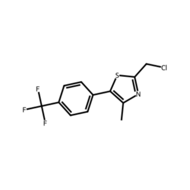 Cc1nc(CCl)sc1-c1ccc(C(F)(F)F)cc1